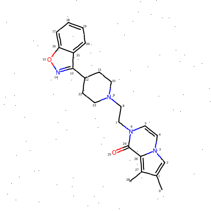 Cc1cn2ccn(CCN3CCC(c4noc5ccccc45)CC3)c(=O)c2c1C